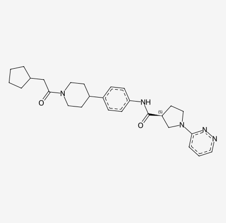 O=C(Nc1ccc(C2CCN(C(=O)CC3CCCC3)CC2)cc1)[C@H]1CCN(c2cccnn2)C1